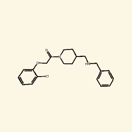 O=C(COc1ccccc1Cl)N1CCC(CNCc2ccccc2)CC1